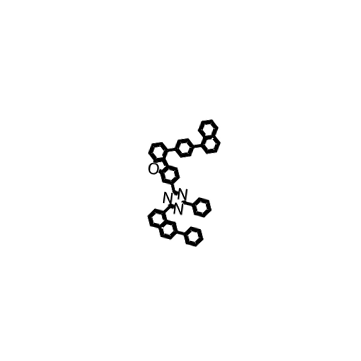 c1ccc(-c2ccc3cccc(-c4nc(-c5ccccc5)nc(-c5ccc6c(c5)oc5cccc(-c7ccc(-c8cccc9ccccc89)cc7)c56)n4)c3c2)cc1